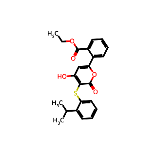 CCOC(=O)c1ccccc1-c1cc(O)c(Sc2ccccc2C(C)C)c(=O)o1